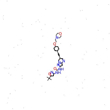 CC(C)(C)c1cc(NC(=O)Nc2cc3ncc(C#Cc4ccc(OCCN5CCOCC5)cc4)cn3n2)no1